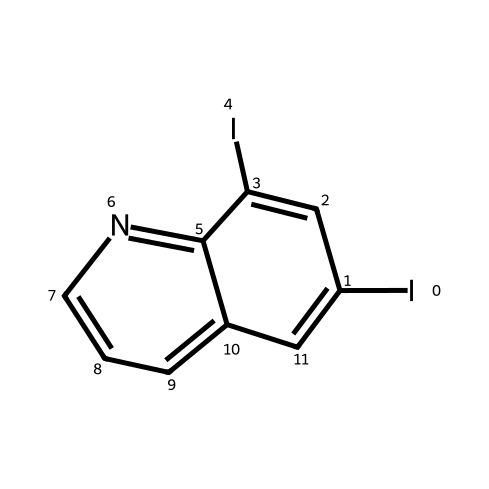 Ic1cc(I)c2ncccc2c1